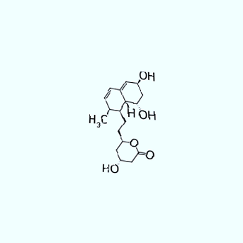 C[C@H]1C=CC2=C[C@@H](O)C[C@H](O)[C@@H]2[C@H]1CC[C@@H]1C[C@@H](O)CC(=O)O1